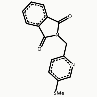 CSc1ccc(CN2C(=O)c3ccccc3C2=O)nc1